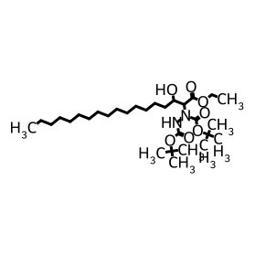 CCCCCCCCCCCCCCCC(O)C(C(=O)OCC)N(NC(=O)OC(C)(C)C)C(=O)OC(C)(C)C